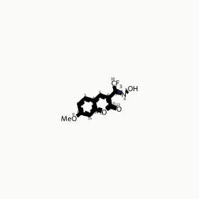 COc1ccc2cc(/C(=N/O)C(F)(F)F)c(=O)oc2c1